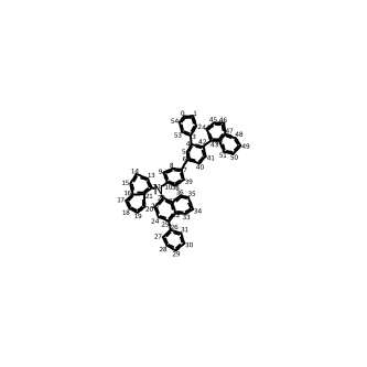 c1ccc(-c2cc(-c3ccc(N(c4cccc5ccccc45)c4ccc(-c5ccccc5)c5ccccc45)cc3)ccc2-c2cccc3ccccc23)cc1